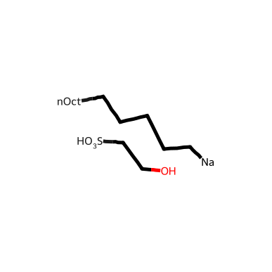 CCCCCCCCCCCC[CH2][Na].O=S(=O)(O)CCO